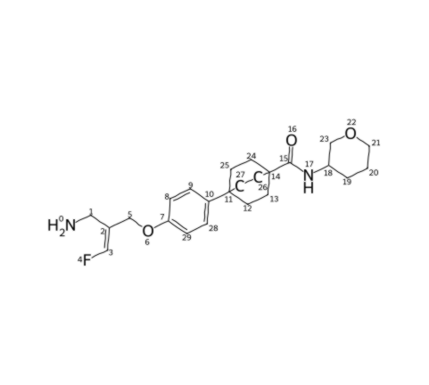 NCC(=CF)COc1ccc(C23CCC(C(=O)NC4CCCOC4)(CC2)CC3)cc1